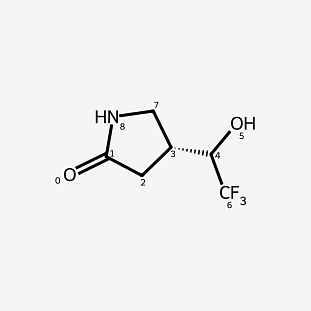 O=C1C[C@@H](C(O)C(F)(F)F)CN1